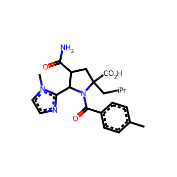 Cc1ccc(C(=O)N2C(c3nccn3C)C(C(N)=O)CC2(CC(C)C)C(=O)O)cc1